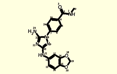 CNC(=O)c1ccc(-n2nc(Nc3ccc4c(c3)OCO4)nc2N)cc1